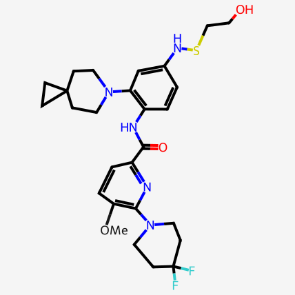 COc1ccc(C(=O)Nc2ccc(NSCCO)cc2N2CCC3(CC2)CC3)nc1N1CCC(F)(F)CC1